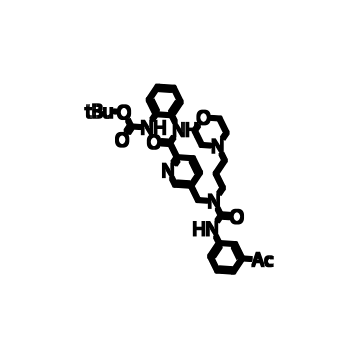 CC(=O)c1cccc(NC(=O)N(CCCN2CCOCC2)Cc2ccc(C(=O)Nc3ccccc3NC(=O)OC(C)(C)C)nc2)c1